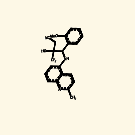 COc1ccccc1C(Nc1cccc2nc(C)ccc12)C(O)(CC#N)C(F)(F)F